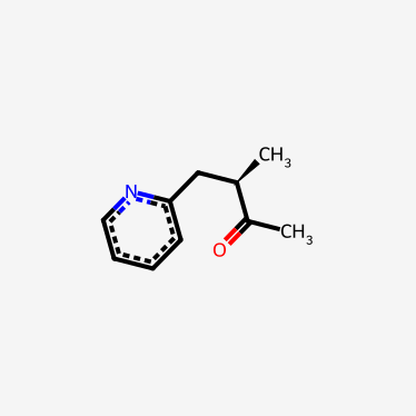 CC(=O)[C@H](C)Cc1ccccn1